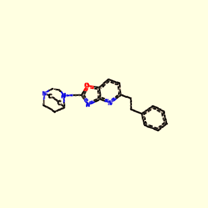 c1ccc(CCc2ccc3oc(N4CCN5CCC4CC5)nc3n2)cc1